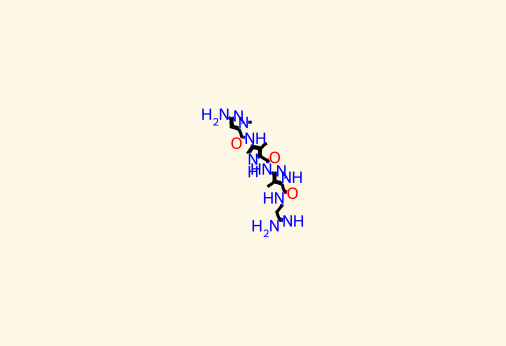 Cc1c(NC(=O)c2cc(N)nn2C)c[nH]c1C(=O)Nc1n[nH]c(C(=O)NCCC(=N)N)c1C